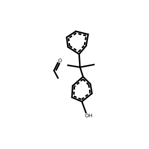 CC(C)(c1ccccc1)c1ccc(O)cc1.CC=O